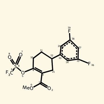 COC(=O)C1=C(OS(=O)(=O)C(F)(F)F)CCC(c2cc(F)cc(F)c2)C1